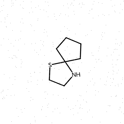 C1CCC2(C1)NCCS2